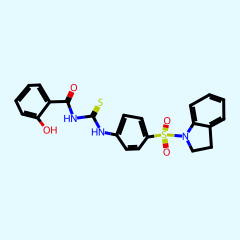 O=C(NC(=S)Nc1ccc(S(=O)(=O)N2CCc3ccccc32)cc1)c1ccccc1O